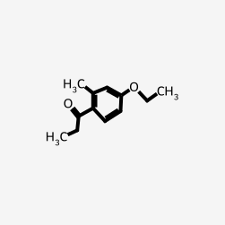 CCOc1ccc(C(=O)CC)c(C)c1